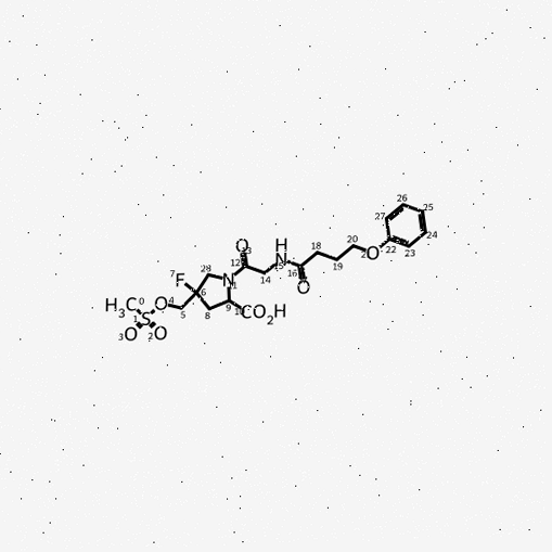 CS(=O)(=O)OCC1(F)CC(C(=O)O)N(C(=O)CNC(=O)CCCOc2ccccc2)C1